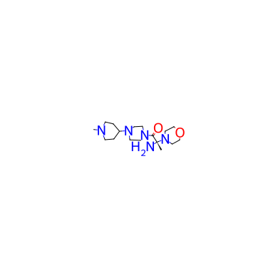 CN1CCC(N2CCN(C(=O)[C@@](C)(N)N3CCOCC3)CC2)CC1